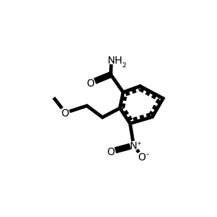 COCCc1c(C(N)=O)cccc1[N+](=O)[O-]